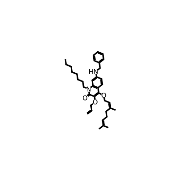 C=CCOc1c(OCC=C(C)CCC=C(C)C)c2ccc(NCc3ccccc3)cc2n(CCCCCCCC)c1=O